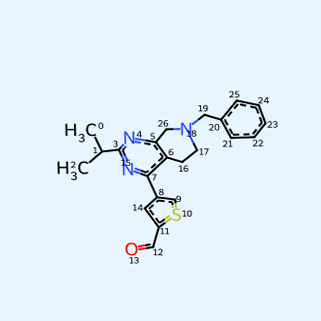 CC(C)c1nc2c(c(-c3csc(C=O)c3)n1)CCN(Cc1ccccc1)C2